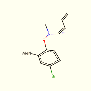 C=C/C=C\N(C)Oc1ccc(Br)cc1NC